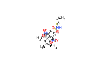 CCCSNS(=O)(=O)c1cc([N+](=O)[O-])c(C(CC)(CCC)CCC)c([N+](=O)[O-])c1